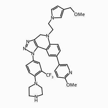 COCc1ccn(CCN2Cc3nnn(-c4ccc(N5CCNCC5)c(C(F)(F)F)c4)c3-c3cc(-c4ccc(OC)nc4)ccc32)c1